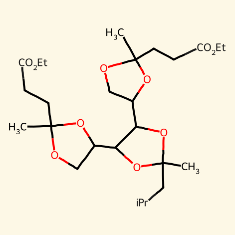 CCOC(=O)CCC1(C)OCC(C2OC(C)(CC(C)C)OC2C2COC(C)(CCC(=O)OCC)O2)O1